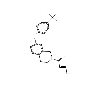 O=C(/C=C/CBr)N1CCc2ccc(Oc3ccc(C(F)(F)F)cc3)cc2C1